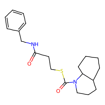 O=C(CCSC(=O)N1CCCC2CCCCC21)NCc1ccccc1